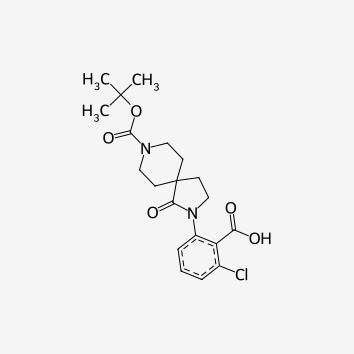 CC(C)(C)OC(=O)N1CCC2(CC1)CCN(c1cccc(Cl)c1C(=O)O)C2=O